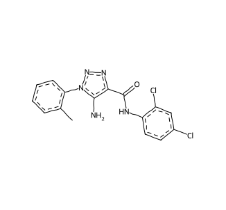 Cc1ccccc1-n1nnc(C(=O)Nc2ccc(Cl)cc2Cl)c1N